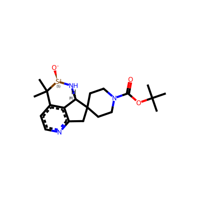 CC(C)(C)OC(=O)N1CCC2(CC1)Cc1nccc3c1[C@@H]2N[S@+]([O-])C3(C)C